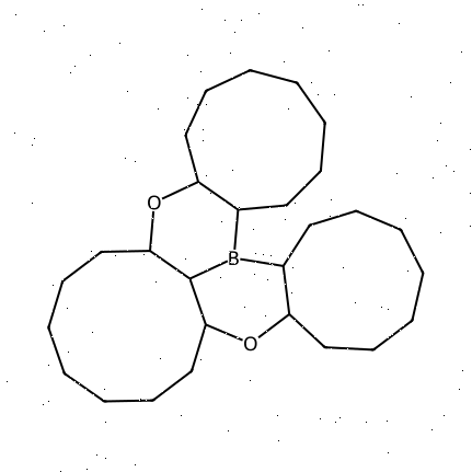 C1CCCC2OC3CCCCCCCC3B3C4CCCCCCCC4OC(CCC1)C32